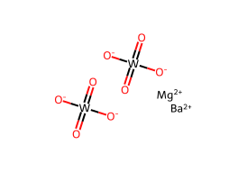 [Ba+2].[Mg+2].[O]=[W](=[O])([O-])[O-].[O]=[W](=[O])([O-])[O-]